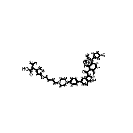 CC(C)C(C(=O)O)c1cc(OCCCCN2CCN(c3ccc(-c4cnc5[nH]cc(C(=O)c6c(F)ccc(N(N7CC[C@@H](F)C7)[SH](=O)=O)c6F)c5c4)cc3)CC2)no1